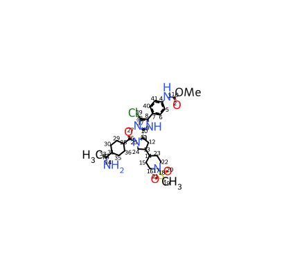 COC(=O)Nc1ccc(-c2[nH]c([C@@H]3CC(C4CCN(S(C)(=O)=O)CC4)CN3C(=O)C3CCC([C@H](C)N)CC3)nc2Cl)cc1